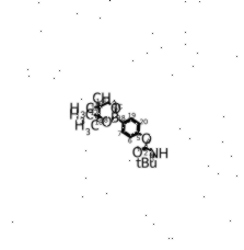 CC(C)(C)NC(=O)Oc1ccc(B2OCC(C)(C)C(C)(C)O2)cc1